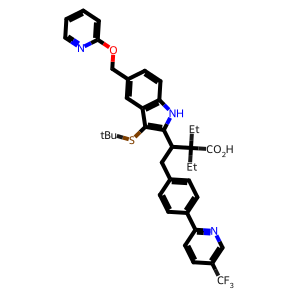 CCC(CC)(C(=O)O)C(Cc1ccc(-c2ccc(C(F)(F)F)cn2)cc1)c1[nH]c2ccc(COc3ccccn3)cc2c1SC(C)(C)C